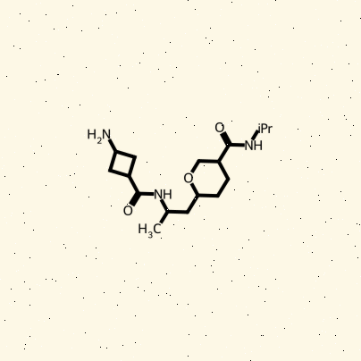 CC(C)NC(=O)C1CCC(CC(C)NC(=O)C2CC(N)C2)OC1